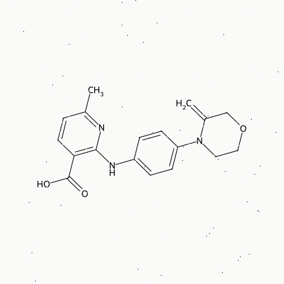 C=C1COCCN1c1ccc(Nc2nc(C)ccc2C(=O)O)cc1